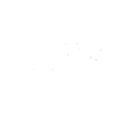 CCn1nc(CCCOC(=O)c2c(F)cccc2Cl)c2c1C(=O)NCC1(CCOCC1)C2